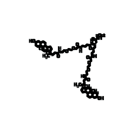 CCCCCCCCNC(=O)C[C@H](CCCCNC(=O)COCCOCCNC(=O)CCC(C)[C@H]1CCC2C3CCC4C[C@H](O)CC[C@]4(C)C3CC[C@@]21C)NC(=O)CCCNC(=O)COCCOCCNC(=O)CCC(C)[C@H]1CCC2C3CCC4C[C@H](O)CC[C@]4(C)C3CC[C@@]21C